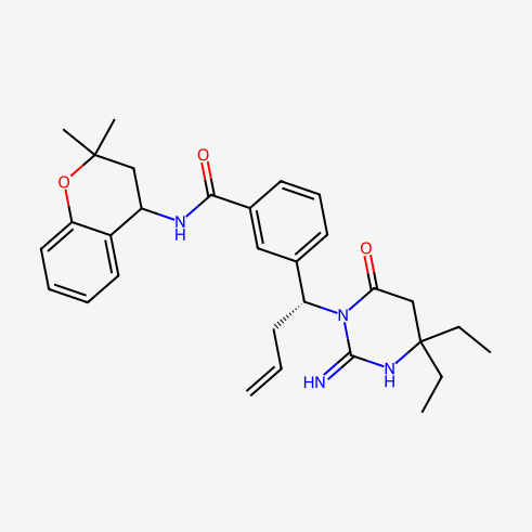 C=CC[C@H](c1cccc(C(=O)NC2CC(C)(C)Oc3ccccc32)c1)N1C(=N)NC(CC)(CC)CC1=O